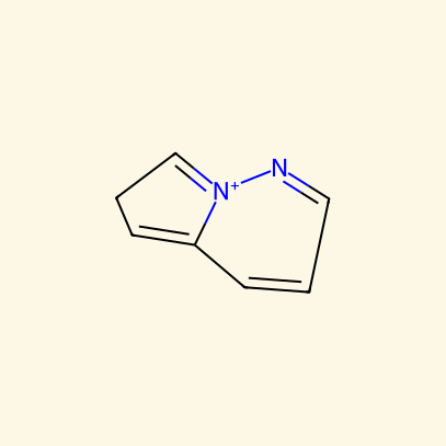 C1=c2cccn[n+]2=CC1